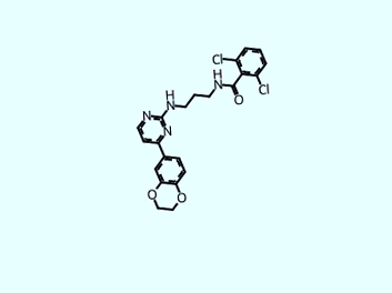 O=C(NCCCNc1nccc(-c2ccc3c(c2)OCCO3)n1)c1c(Cl)cccc1Cl